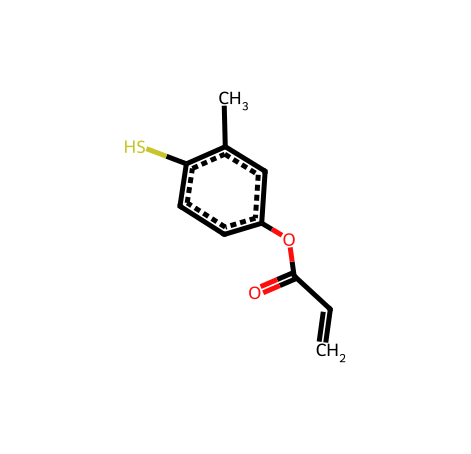 C=CC(=O)Oc1ccc(S)c(C)c1